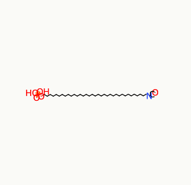 O=C=NCCCCCCCCCCCCCCCCCCCCCCCCCCCCCCCCCCCOP(=O)(O)O